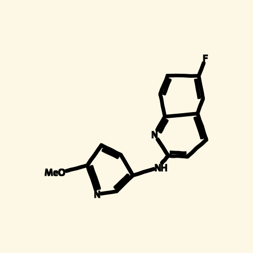 COc1ccc(Nc2ccc3cc(F)ccc3n2)cn1